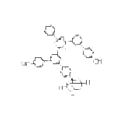 N#Cc1ccc(-c2cccc(-c3nc(-c4ccccc4)nc(-c4cc(-c5ccc(C#N)cc5)cc(-c5ccc(C67C[C@H]8C[C@@H](C6)C[C@@H](C7)C8)cc5)c4)n3)c2)cc1